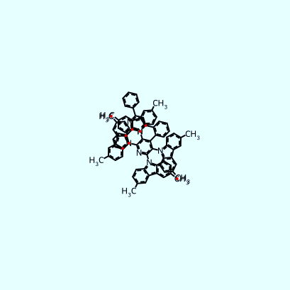 Cc1ccc2c(c1)c1cc(C)ccc1n2-c1nc(-n2c3ccc(C)cc3c3cc(C)ccc32)c(-n2c3ccc(C)cc3c3cc(C)ccc32)c(-c2ccccc2-c2cc(-c3ccccc3)nc(-c3ccccc3)n2)c1-n1c2ccc(C)cc2c2cc(C)ccc21